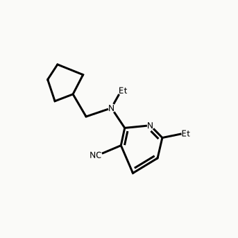 CCc1ccc(C#N)c(N(CC)CC2CCCC2)n1